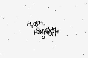 C[C@H]1O[C@@H](n2cc(-c3ccccc3)c3c2N=CN(Nc2ccc(CCN(C)C)cc2)C3)[C@H](O)[C@@H]1O